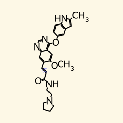 COc1cc2c(Oc3ccc4[nH]c(C)cc4c3)ncnc2cc1/C=C/C(=O)NCCN1CCCC1